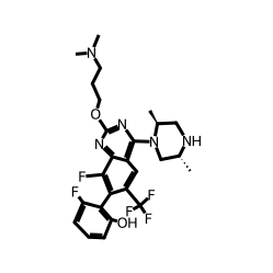 C[C@@H]1CN(c2nc(OCCCN(C)C)nc3c(F)c(-c4c(O)cccc4F)c(C(F)(F)F)cc23)[C@@H](C)CN1